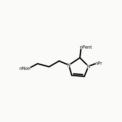 CCCCCCCCCCCCN1C=CN(CCC)C1CCCCC